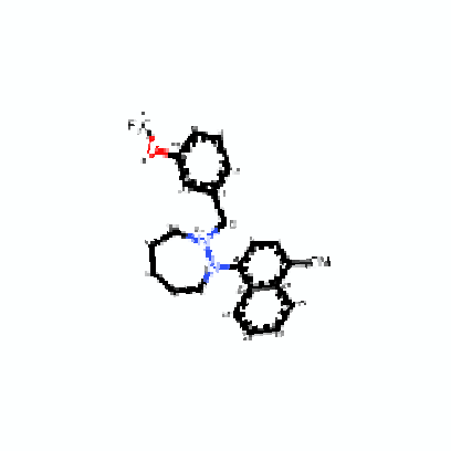 N#Cc1ccc(N2CCCCCN2Cc2cccc(OC(F)(F)F)c2)c2ccccc12